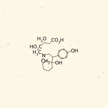 CN(C)CC(c1ccc(O)cc1)C1(O)CCCCC1.O.O=C(O)CCC(=O)O